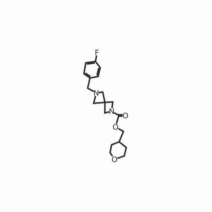 O=C(OCC1CCOCC1)N1CC2(CN(Cc3ccc(F)cc3)C2)C1